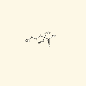 CCCC(CCC)(CCCCl)C(=O)Cl